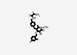 Cc1[nH]c(=O)c(Br)c(OCc2ccc(F)cc2F)c1Cc1ccc(CNC(=O)[C@@H](C)N)cc1.Cl